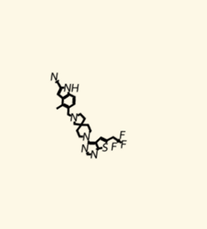 Cc1c(CN2CCC3(CCN(c4ncnc5sc(CC(F)(F)F)cc45)CC3)C2)ccc2[nH]c(C#N)cc12